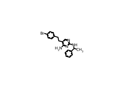 CC(Nc1ncc(CCc2ccc(Br)cc2)c(N)n1)c1ccccc1